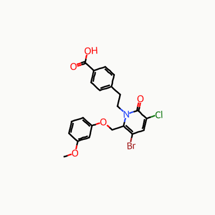 COc1cccc(OCc2c(Br)cc(Cl)c(=O)n2CCc2ccc(C(=O)O)cc2)c1